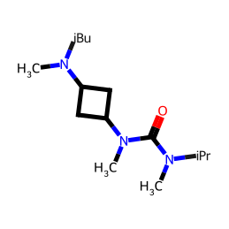 CCC(C)N(C)C1CC(N(C)C(=O)N(C)C(C)C)C1